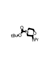 CCCC1CN(C(=O)OC(C)(C)C)CCO1